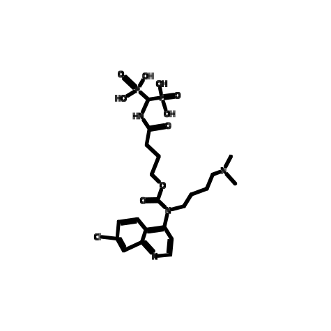 CN(C)CCCCN(C(=O)OCCCC(=O)NC(P(=O)(O)O)P(=O)(O)O)c1ccnc2cc(Cl)ccc12